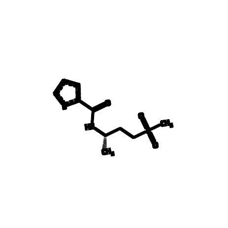 C[C@@H](CCS(C)(=O)=O)NC(=O)c1cccs1